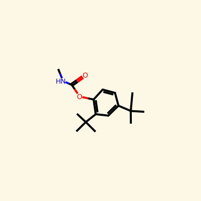 CNC(=O)Oc1ccc(C(C)(C)C)cc1C(C)(C)C